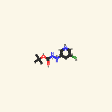 CC(C)(C)OC(=O)NNc1cncc(Br)c1